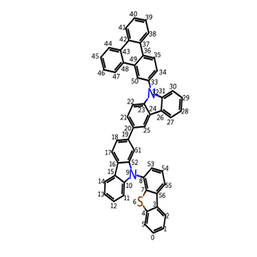 c1ccc2c(c1)sc1c(-n3c4ccccc4c4ccc(-c5ccc6c(c5)c5ccccc5n6-c5ccc6c7ccccc7c7ccccc7c6c5)cc43)cccc12